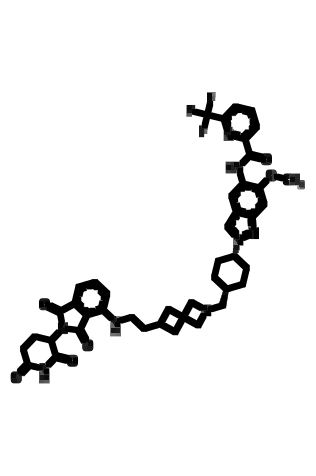 COc1cc2nn([C@H]3CC[C@H](CN4CC5(CC(CCNc6cccc7c6C(=O)N(C6CCC(=O)NC6=O)C7=O)C5)C4)CC3)cc2cc1NC(=O)c1cccc(C(F)(F)F)n1